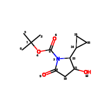 CC(C)(C)OC(=O)N1C(=O)CC(O)C1C1CC1